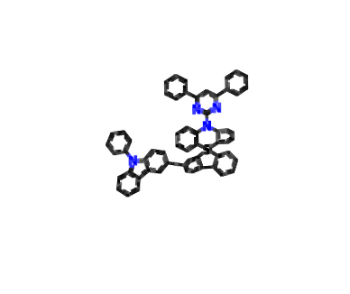 c1ccc(-c2cc(-c3ccccc3)nc(N3c4ccccc4[Si]4(c5ccccc5-c5ccc(-c6ccc7c(c6)c6ccccc6n7-c6ccccc6)cc54)c4ccccc43)n2)cc1